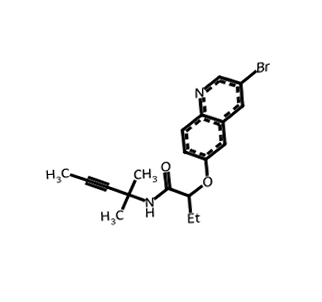 CC#CC(C)(C)NC(=O)C(CC)Oc1ccc2ncc(Br)cc2c1